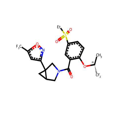 CCS(=O)(=O)c1ccc(O[C@H](C)C(F)(F)F)c(C(=O)N2CC3CC3(c3cc(C(F)(F)F)on3)C2)c1